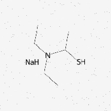 CCN(CC)C(C)S.[NaH]